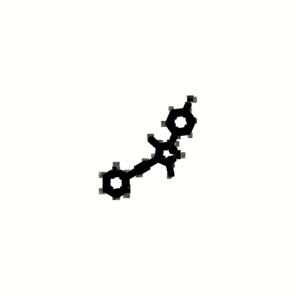 Cc1nn(-c2ccc(F)cc2)c(C)c1C#Cc1ncccn1